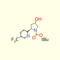 CC(C)(C)OC(=O)N1C[C@H](O)C[C@@H]1c1ccc(C(F)(F)F)cn1